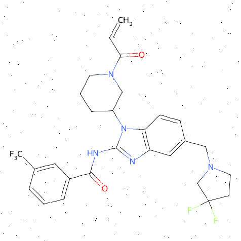 C=CC(=O)N1CCCC(n2c(NC(=O)c3cccc(C(F)(F)F)c3)nc3cc(CN4CCC(F)(F)C4)ccc32)C1